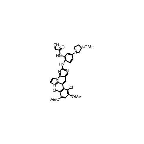 C=CC(=O)Nc1cc(N2CC[C@H](OC)C2)ccc1Nc1ncc2cc(-c3c(Cl)c(OC)cc(OC)c3Cl)c3nccn3c2n1